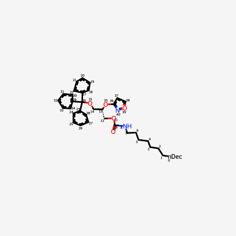 CCCCCCCCCCCCCCCCCNC(=O)OC[C@H](COC(c1ccccc1)(c1ccccc1)c1ccccc1)Oc1ccon1